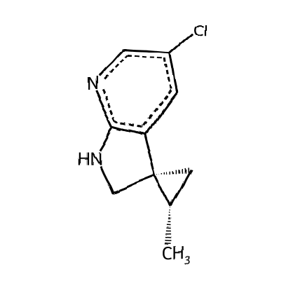 C[C@H]1C[C@@]12CNc1ncc(Cl)cc12